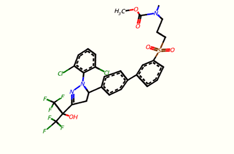 COC(=O)N(C)CCCS(=O)(=O)c1cccc(-c2ccc(C3CC(C(O)(C(F)(F)F)C(F)(F)F)=NN3c3c(Cl)cccc3Cl)cc2)c1